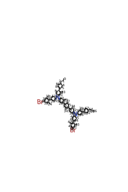 CCCc1ccc(-c2ccc(N(c3ccc(-c4c(C)cc(Br)cc4C)cc3)c3ccc(-c4cc(C)c(-c5ccc(N(c6ccc(-c7c(C)cc(Br)cc7C)cc6)c6ccc(-c7ccc(CCC)cc7)c(C)c6)cc5C)cc4C)c(C)c3)cc2C)cc1